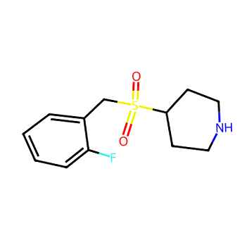 O=S(=O)(Cc1ccccc1F)C1CCNCC1